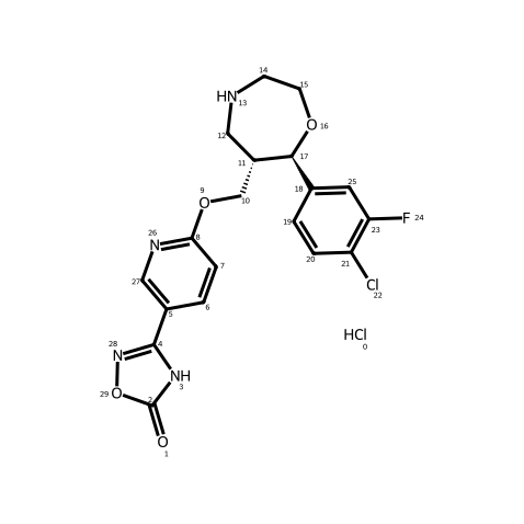 Cl.O=c1[nH]c(-c2ccc(OC[C@@H]3CNCCO[C@H]3c3ccc(Cl)c(F)c3)nc2)no1